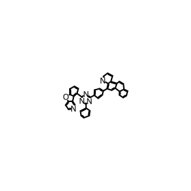 c1ccc(-c2nc(-c3ccc(-c4cc5c6ccccc6ccc5c5cccnc45)cc3)nc(-c3cccc4oc5ccncc5c34)n2)cc1